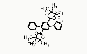 CC1(C)OB(c2cc(-c3ccccc3)c(B3OC(C)(C)C(C)(C)O3)cc2-c2ccccc2)OC1(C)C